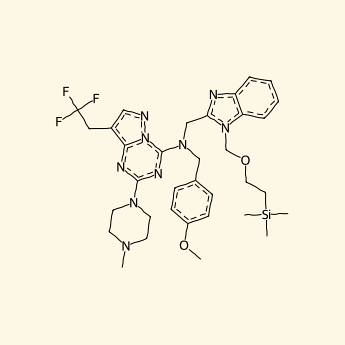 COc1ccc(CN(Cc2nc3ccccc3n2COCC[Si](C)(C)C)c2nc(N3CCN(C)CC3)nc3c(CC(F)(F)F)cnn23)cc1